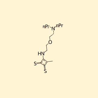 CCCN(CCC)CCOCCNc1c(C)c(=S)c1=S